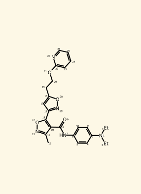 CCN(CC)c1ccc(NC(=O)c2c(C)noc2-c2cc(CCOc3ccccn3)on2)cc1